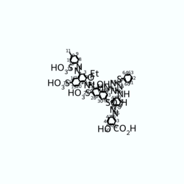 CCOc1cc(/N=N/c2ccc(C)cc2S(=O)(=O)O)c2cc(S(=O)(=O)O)ccc2c1/N=N/c1c(S(=O)(=O)O)cc2cc(S(=O)(=O)O)cc(Nc3nc(Nc4ccc(/N=N/c5ccc(O)c(C(=O)O)c5)cc4)nc(Sc4ccccc4)n3)c2c1O